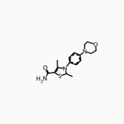 CC1=C(C(N)=O)SC(C)N1c1ccc(N2CCOCC2)cc1